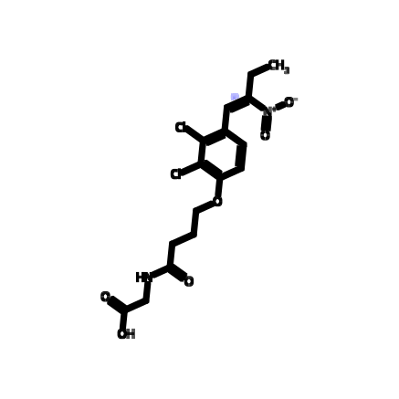 CC/C(=C/c1ccc(OCCCC(=O)NCC(=O)O)c(Cl)c1Cl)[N+](=O)[O-]